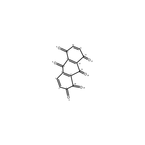 O=c1ccc2c(=O)c3c(=O)ccc(=O)c3c(=O)c2c1=O